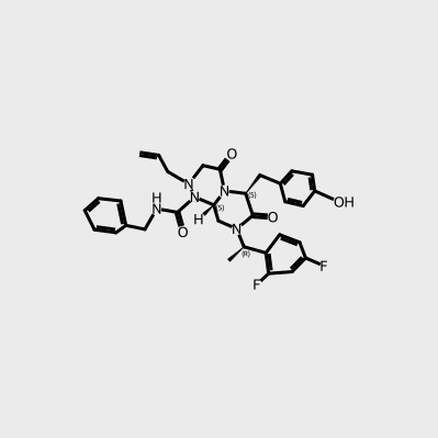 C=CCN1CC(=O)N2[C@@H](Cc3ccc(O)cc3)C(=O)N([C@H](C)c3ccc(F)cc3F)C[C@@H]2N1C(=O)NCc1ccccc1